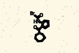 O=C(CBr)Nc1ccccc1C(=O)C1CCCCCC1